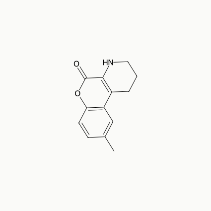 Cc1ccc2oc(=O)c3c(c2c1)CCCN3